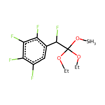 CCOC(O[SiH3])(OCC)C(F)c1cc(F)c(F)c(F)c1F